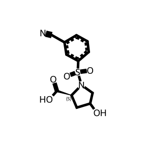 N#Cc1cccc(S(=O)(=O)N2CC(O)C[C@H]2C(=O)O)c1